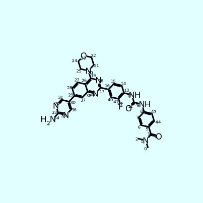 CN(C)C(=O)c1ccc(NC(=O)Nc2ccc(-c3nc(N4CCOCC4)c4ccc(-c5cnc(N)nc5)cc4n3)cc2F)cc1